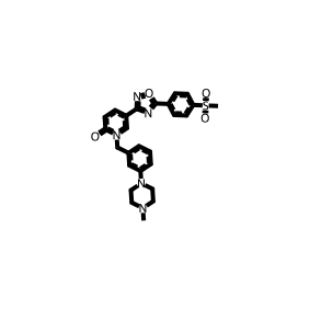 CN1CCN(c2cccc(Cn3cc(-c4noc(-c5ccc(S(C)(=O)=O)cc5)n4)ccc3=O)c2)CC1